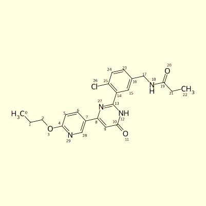 CCCOc1ccc(-c2cc(=O)[nH]c(-c3cc(CNC(=O)CC)ccc3Cl)n2)cn1